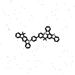 CC1(C)c2ccccc2-c2cc3c4ccccc4n(-c4ccc(-c5ccc6c(c5)C(C)(C)c5cc7c8ccccc8sc7c7c8ccccc8n-6c57)cc4)c3cc21